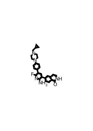 Nc1nc(F)c(-c2ccc(N3CCN(CC4CC4)CC3)cc2)cc1-c1ccc2c(=O)[nH]ccc2c1